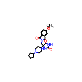 COc1ccc2c(c1)CN(CC1(C3CCN(C4CCCC4)CC3)NC(=O)NC1=O)C2=O